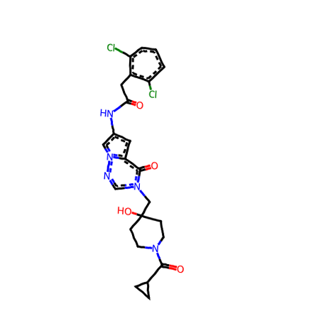 O=C(Cc1c(Cl)cccc1Cl)Nc1cc2c(=O)n(CC3(O)CCN(C(=O)C4CC4)CC3)cnn2c1